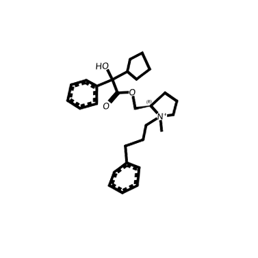 C[N+]1(CCCc2ccccc2)CCC[C@@H]1COC(=O)C(O)(c1ccccc1)C1CCCC1